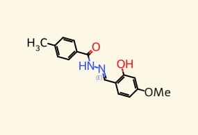 COc1ccc(/C=N/NC(=O)c2ccc(C)cc2)c(O)c1